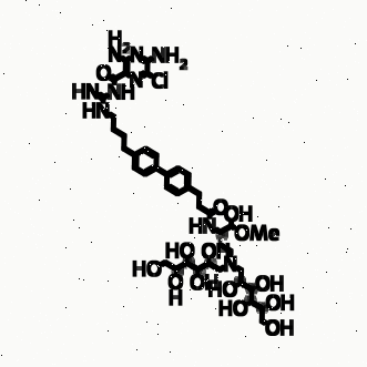 COC(O)[C@H](CCN(C[C@H](O)[C@@H](O)[C@H](O)[C@H](O)CO)C[C@H](O)[C@@H](O)[C@H](O)[C@H](O)CO)NC(=O)CCc1ccc(-c2ccc(CCCCNC(=N)NC(=O)c3nc(Cl)c(N)nc3N)cc2)cc1